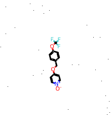 [O-][n+]1ccc(OCc2ccc(OC(F)(F)F)cc2)cc1